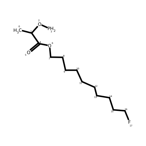 CC(OP)C(=O)OCCCCCCCCCCF